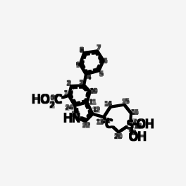 O=C(O)c1cc(-c2ccccc2)cc2c(C3CCCS(O)(O)CC3)c[nH]c12